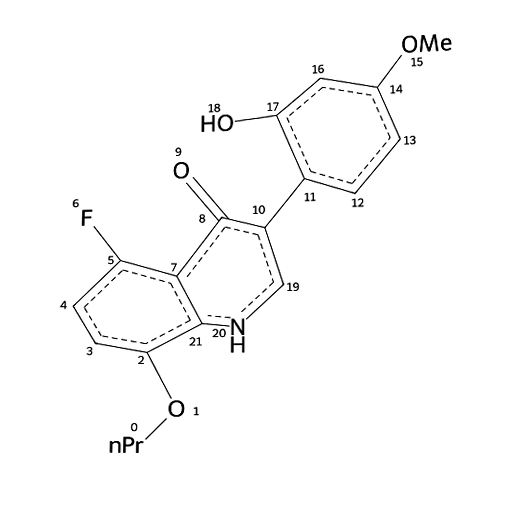 CCCOc1ccc(F)c2c(=O)c(-c3ccc(OC)cc3O)c[nH]c12